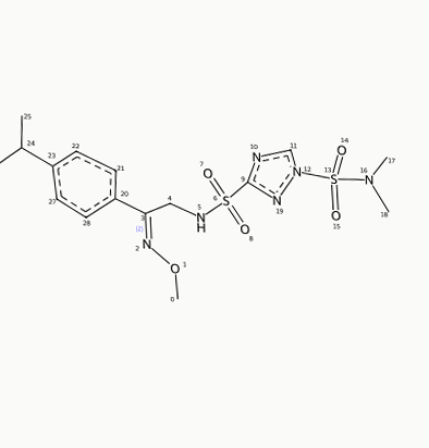 CO/N=C(\CNS(=O)(=O)c1ncn(S(=O)(=O)N(C)C)n1)c1ccc(C(C)C)cc1